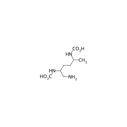 CC(CCC(CN)NC(=O)O)NC(=O)O